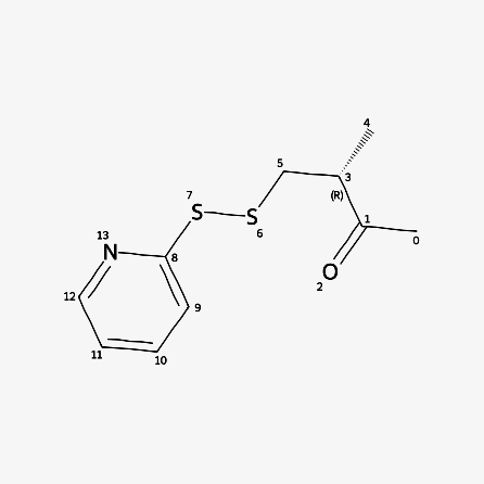 CC(=O)[C@@H](C)CSSc1ccccn1